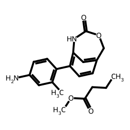 CCCC(=O)OC.Cc1cc(N)ccc1-c1ccc2cc1NC(=O)OC2